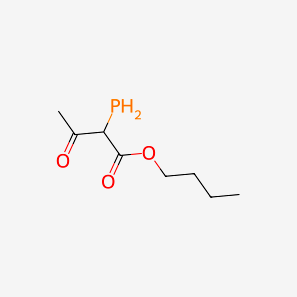 CCCCOC(=O)C(P)C(C)=O